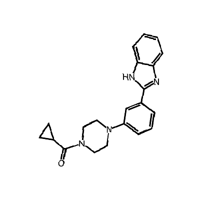 O=C(C1CC1)N1CCN(c2cccc(-c3nc4ccccc4[nH]3)c2)CC1